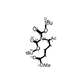 COC(=O)CCCC(C(C)=O)N(C(=O)OC(C)(C)C)C(=O)OC(C)(C)C